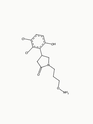 NOCCCN1CC(c2c(O)ccc(Cl)c2Cl)CC1=O